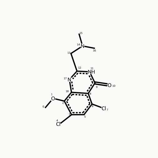 COc1c(Cl)cc(Cl)c2c(=O)[nH]c(CN(C)C)nc12